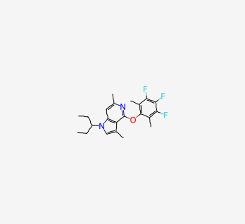 CCC(CC)n1cc(C)c2c(Oc3c(C)c(F)c(F)c(F)c3C)nc(C)cc21